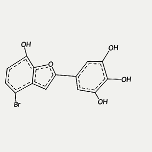 Oc1cc(-c2cc3c(Br)ccc(O)c3o2)cc(O)c1O